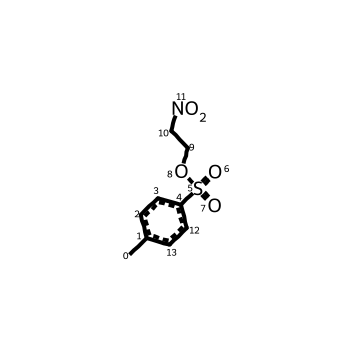 Cc1ccc(S(=O)(=O)OCC[N+](=O)[O-])cc1